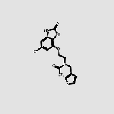 O=C(N(CCOc1cc(Cl)cc2[nH]c(=S)[nH]c12)Cc1ccsc1)C(F)(F)F